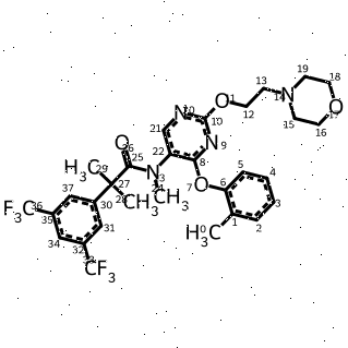 Cc1ccccc1Oc1nc(OCCN2CCOCC2)ncc1N(C)C(=O)C(C)(C)c1cc(C(F)(F)F)cc(C(F)(F)F)c1